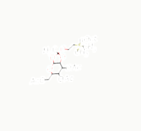 CCCCCCCCS(C)(C)CCOC1(C)OC2OC(COC(C)=O)C(OC(C)=O)C(OC(C)=O)C2O1